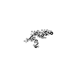 CC[C@H](C)[C@@H]([C@@H](CC(=O)N1CCC[C@H]1[C@H](OC)[C@@H](C)C(=O)N[C@H](C)[C@@H](O)c1ccccc1)OC)N(C)C(=O)[C@@H](NC(=O)[C@H](C(C)C)N(C)C(=O)CNC(=O)C(CCCNC(N)=O)NC(=O)[C@@H](NC(=O)CCN(CC)CCCN1C(=O)C=CC1=O)C(C)C)C(C)C